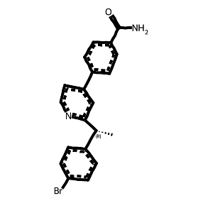 C[C@H](c1ccc(Br)cc1)c1cc(-c2ccc(C(N)=O)cc2)ccn1